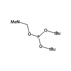 CNCOP(OC(C)(C)C)OC(C)(C)C